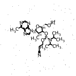 Cc1ncnc2c1ncn2[C@@H]1O[C@H](C[O][Rf])C(OP(OCCC#N)N(C(C)C)C(C)C)[C@@H]1C